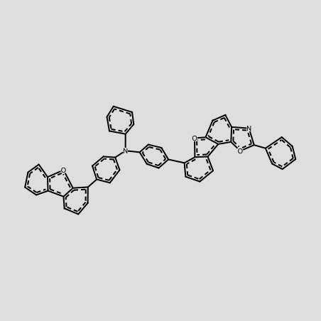 c1ccc(-c2nc3ccc4oc5c(-c6ccc(N(c7ccccc7)c7ccc(-c8cccc9c8oc8ccccc89)cc7)cc6)cccc5c4c3o2)cc1